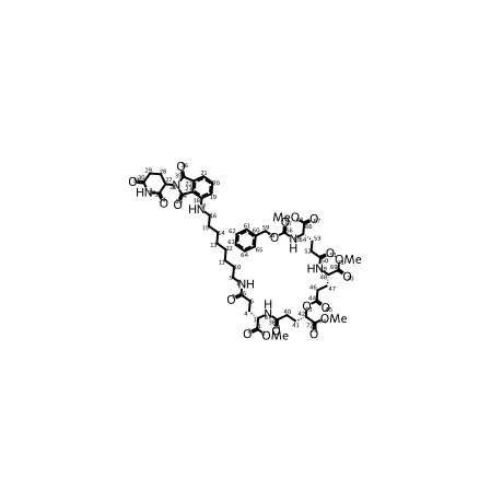 COC(=O)[C@H](CCC(=O)NCCCCCCCCNc1cccc2c1C(=O)N(C1CCC(=O)NC1=O)C2=O)NC(=O)CC[C@H](OC(=O)CC[C@H](NC(=O)CC[C@H](NC(=O)OCc1ccccc1)C(=O)OC)C(=O)OC)C(=O)OC